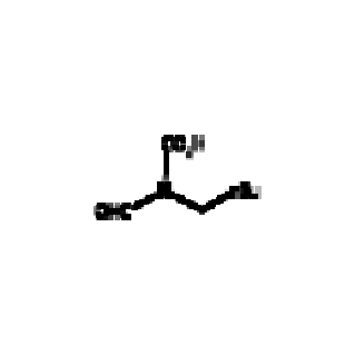 CCCCCN(C=O)C(=O)O